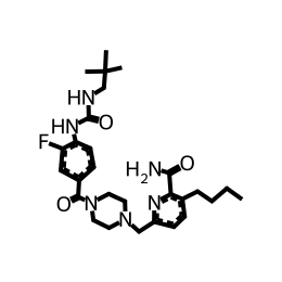 CCCCc1ccc(CN2CCN(C(=O)c3ccc(NC(=O)NCC(C)(C)C)c(F)c3)CC2)nc1C(N)=O